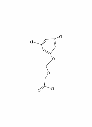 O=C(Cl)COCOc1cc(Cl)cc(Cl)c1